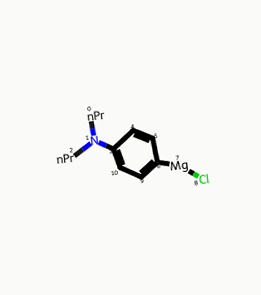 CCCN(CCC)c1cc[c]([Mg][Cl])cc1